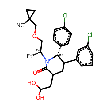 CC[C@@H](COCC1(C#N)CC1)N1C(=O)C(CC(O)O)CC(c2cccc(Cl)c2)[C@H]1c1ccc(Cl)cc1